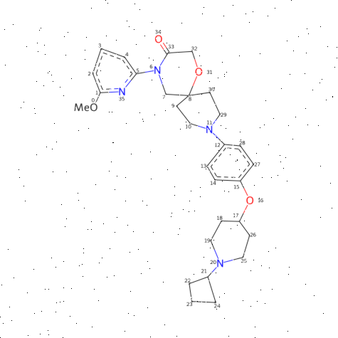 COc1cccc(N2CC3(CCN(c4ccc(OC5CCN(C6CCC6)CC5)cc4)CC3)OCC2=O)n1